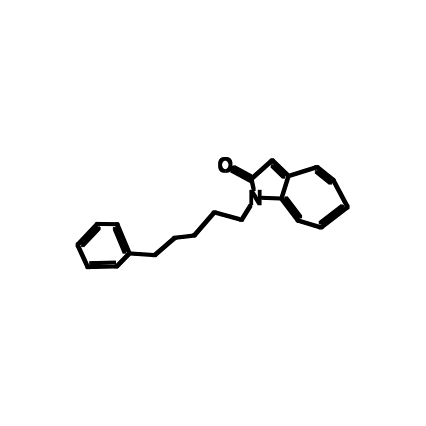 O=c1cc2cccccc-2n1CCCCCc1ccccc1